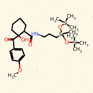 COc1ccc(C(=O)C2(O)CCCCC2C(=O)NCCC[Si](C)(O[Si](C)(C)C)O[Si](C)(C)C)cc1